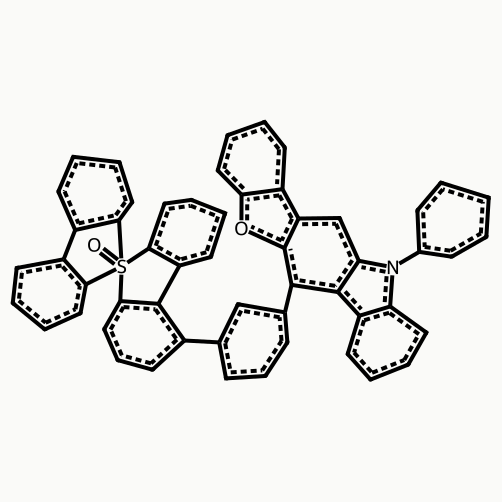 O=S12(c3ccccc3-c3ccccc31)c1ccccc1-c1c(-c3cccc(-c4c5oc6ccccc6c5cc5c4c4ccccc4n5-c4ccccc4)c3)cccc12